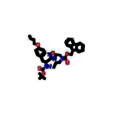 CCCCOc1ccc(CC(NC(=O)OC(C)(C)C)c2noc(CN(CCC)C(=O)OCC3c4ccccc4-c4ccccc43)n2)cc1